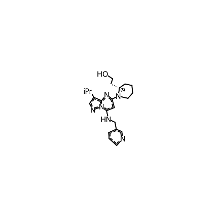 CC(C)c1cnn2c(NCc3cccnc3)cc(N3CCCC[C@H]3CCO)nc12